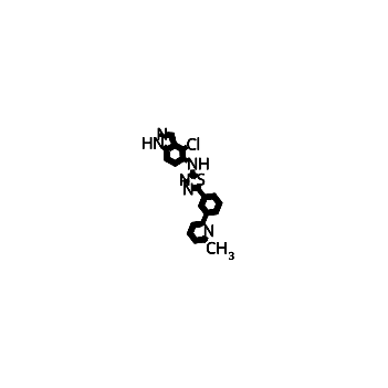 Cc1cccc(-c2cccc(-c3nnc(Nc4ccc5[nH]ncc5c4Cl)s3)c2)n1